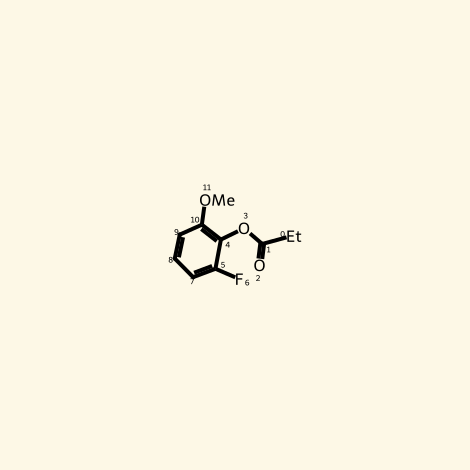 CCC(=O)Oc1c(F)cccc1OC